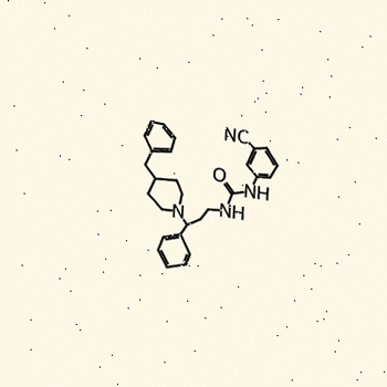 N#Cc1cccc(NC(=O)NCCC(c2ccccc2)N2CCC(Cc3ccccc3)CC2)c1